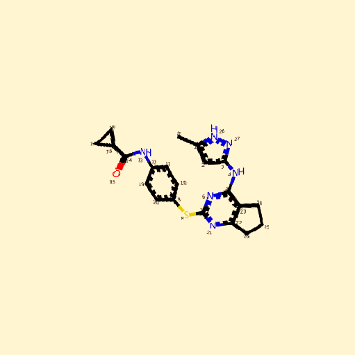 Cc1cc(Nc2nc(Sc3ccc(NC(=O)C4CC4)cc3)nc3c2CCC3)n[nH]1